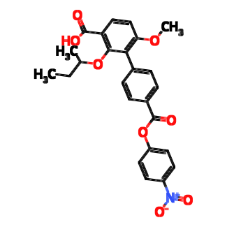 CCC(C)Oc1c(C(=O)O)ccc(OC)c1-c1ccc(C(=O)Oc2ccc([N+](=O)[O-])cc2)cc1